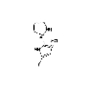 Cl.Ic1cnc([C@@H]2CCCN2)[nH]1